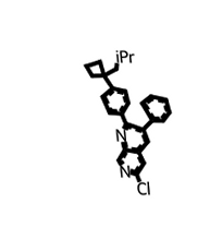 CC(C)CC1(c2ccc(-c3nc4cnc(Cl)cc4cc3-c3ccccc3)cc2)CCC1